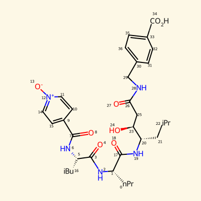 CCC[C@H](NC(=O)[C@@H](NC(=O)c1cc[n+]([O-])cc1)[C@@H](C)CC)C(=O)N[C@@H](CC(C)C)[C@@H](O)CC(=O)NCc1ccc(C(=O)O)cc1